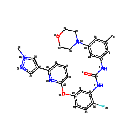 Cc1cc(NC(=O)Nc2cc(Oc3cccc(-c4cnn(C)c4)n3)ccc2F)cc(N2CCOCC2)c1